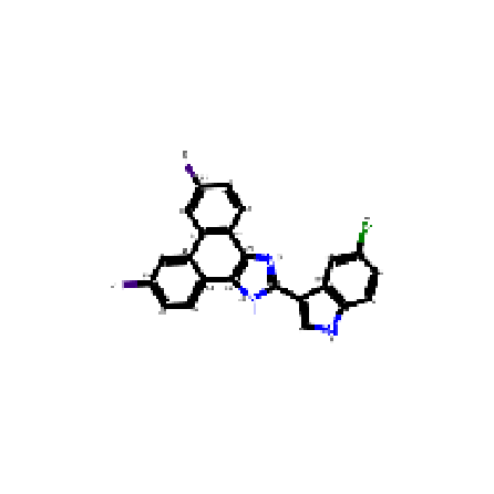 Brc1ccc2[nH]cc(-c3nc4c5ccc(I)cc5c5cc(I)ccc5c4[nH]3)c2c1